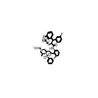 CC1CN(C(=O)[O-])CC(CCc2c(F)cccc2NC(=O)C(N=[N+]=N)C(c2cccc(F)c2)c2cccc(F)c2)N1S(=O)(=O)c1ccccc1